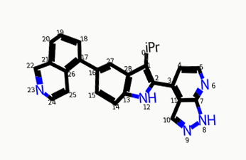 CC(C)c1c(-c2ccnc3[nH]ncc23)[nH]c2ccc(-c3cccc4cnccc34)cc12